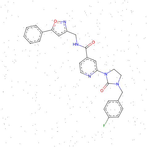 O=C(NCc1cc(-c2ccccc2)on1)c1ccnc(N2CCN(Cc3ccc(F)cc3)C2=O)c1